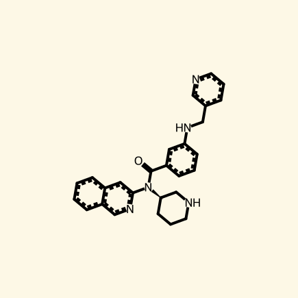 O=C(c1cccc(NCc2cccnc2)c1)N(c1cc2ccccc2cn1)[C@@H]1CCCNC1